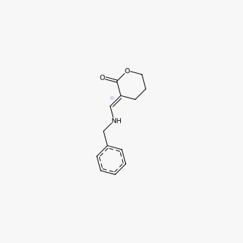 O=C1OCCC/C1=C\NCc1ccccc1